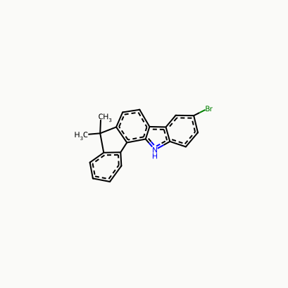 CC1(C)c2ccccc2-c2c1ccc1c2[nH]c2ccc(Br)cc21